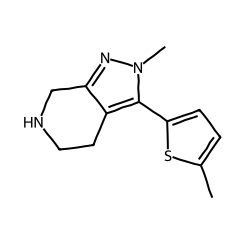 Cc1ccc(-c2c3c(nn2C)CNCC3)s1